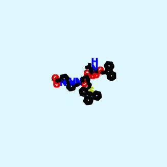 COC(=O)c1cccc(-c2cccc(CNC(=O)C[C@@H](C=CCCSC(c3ccccc3)(c3ccccc3)c3ccccc3)OC(=O)[C@H](NC(=O)OCC3c4ccccc4-c4ccccc43)C(C)C)n2)n1